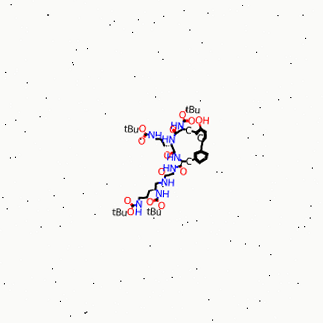 CC(C)(C)OC(=O)NCCC[C@@H](CNC(=O)CNC(=O)[C@@H]1Cc2cccc(c2)-c2ccc(O)c(c2)C[C@H](NC(=O)OC(C)(C)C)C(=O)N[C@@H](CCCNC(=O)OC(C)(C)C)C(=O)N1)NC(=O)OC(C)(C)C